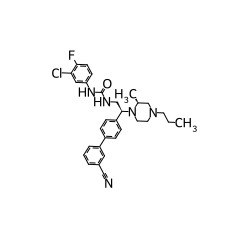 CCCN1CCN([C@H](CNC(=O)Nc2ccc(F)c(Cl)c2)c2ccc(-c3cccc(C#N)c3)cc2)[C@@H](C)C1